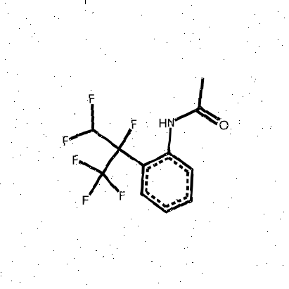 CC(=O)Nc1ccccc1C(F)(C(F)F)C(F)(F)F